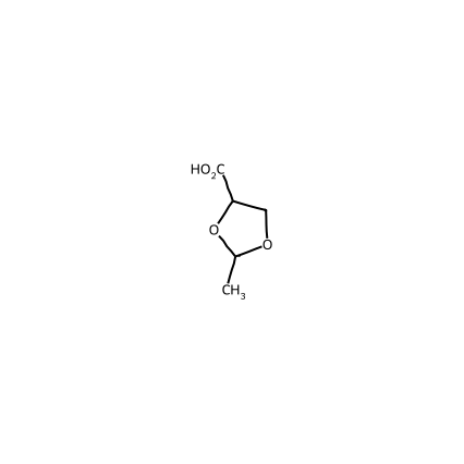 C[C]1OCC(C(=O)O)O1